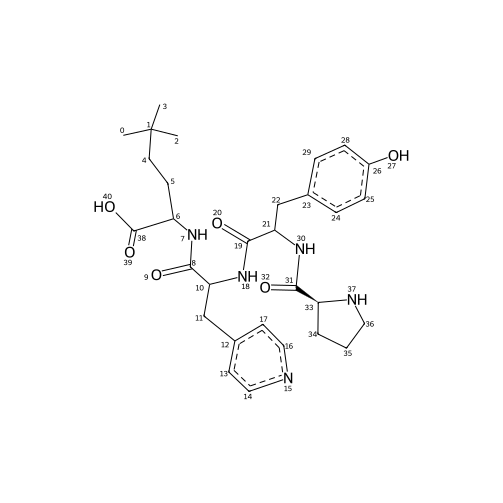 CC(C)(C)CCC(NC(=O)C(Cc1ccncc1)NC(=O)C(Cc1ccc(O)cc1)NC(=O)[C@@H]1CCCN1)C(=O)O